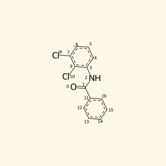 O=C(Nc1cc[c]c(Cl)c1Cl)c1ccccc1